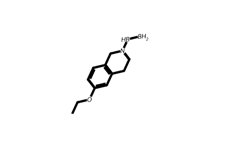 BBN1CCc2cc(OCC)ccc2C1